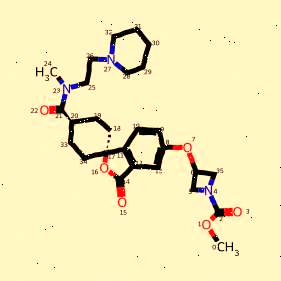 COC(=O)N1CC(Oc2ccc3c(c2)C(=O)O[C@]32CC[C@H](C(=O)N(C)CCN3CCCCC3)CC2)C1